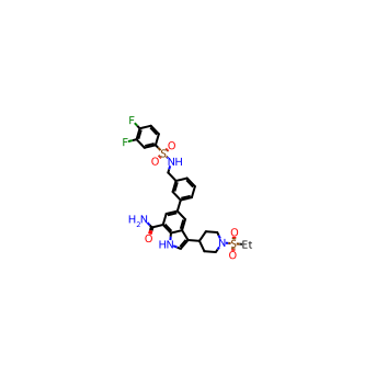 CCS(=O)(=O)N1CCC(c2c[nH]c3c(C(N)=O)cc(-c4cccc(CNS(=O)(=O)c5ccc(F)c(F)c5)c4)cc23)CC1